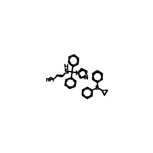 CCCC=C[SiH](C)C(c1ccccc1)(c1ccccc1)n1ccnc1.c1ccc(B(c2ccccc2)C2CC2)cc1